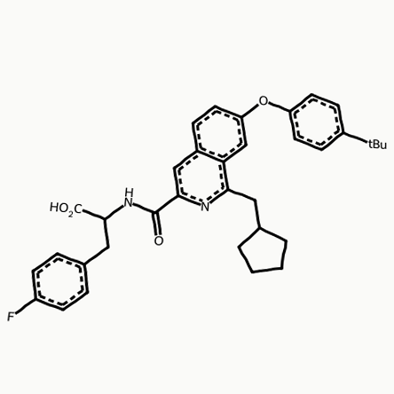 CC(C)(C)c1ccc(Oc2ccc3cc(C(=O)NC(Cc4ccc(F)cc4)C(=O)O)nc(CC4CCCC4)c3c2)cc1